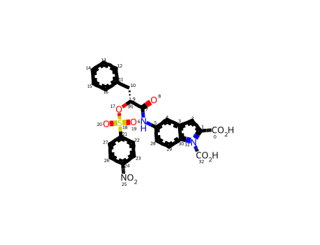 O=C(O)c1cc2cc(NC(=O)[C@@H](Cc3ccccc3)OS(=O)(=O)c3ccc([N+](=O)[O-])cc3)ccc2n1C(=O)O